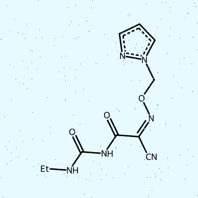 CCNC(=O)NC(=O)C(C#N)=NOCn1cccn1